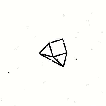 C1C2C3C4C1C234